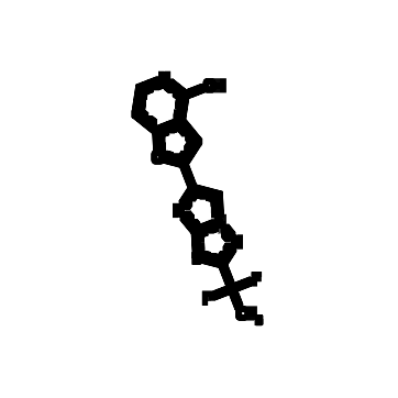 CC(F)(F)c1nn2cc(-c3cc4c(O)nccc4o3)nc2s1